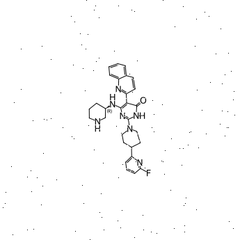 O=c1[nH]c(N2CCC(c3cccc(F)n3)CC2)nc(N[C@@H]2CCCNC2)c1-c1ccc2ccccc2n1